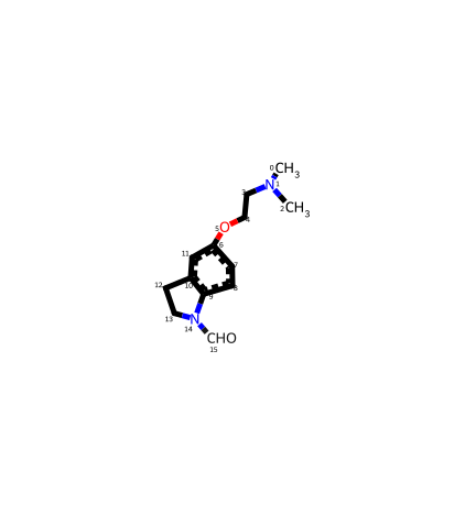 CN(C)CCOc1ccc2c(c1)CCN2C=O